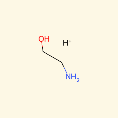 NCCO.[H+]